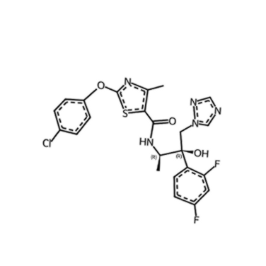 Cc1nc(Oc2ccc(Cl)cc2)sc1C(=O)N[C@H](C)[C@](O)(Cn1cncn1)c1ccc(F)cc1F